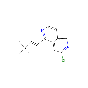 C[Si](C)(C)C=Cc1nccc2cnc(Cl)cc12